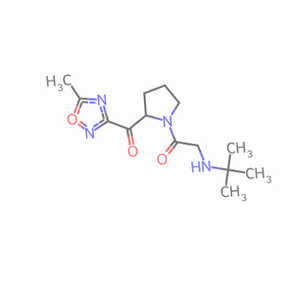 Cc1nc(C(=O)C2CCCN2C(=O)CNC(C)(C)C)no1